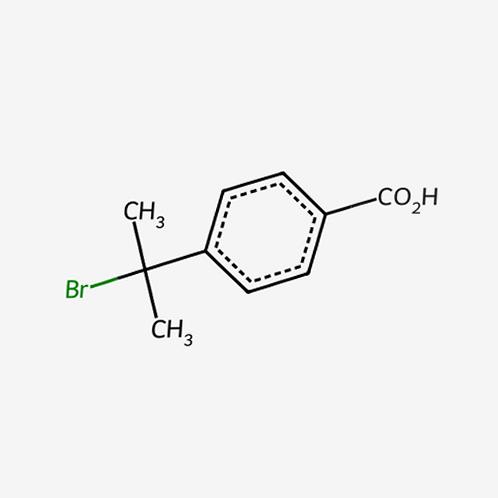 CC(C)(Br)c1ccc(C(=O)O)cc1